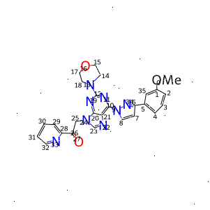 COc1cccc(-c2ccn(-c3nc(N4CCOCC4)nc4c3ncn4CC(=O)c3ccccn3)n2)c1